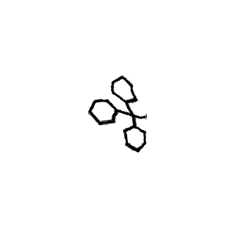 IC(C1CCCCC1)(C1CCCCC1)C1CCCCC1